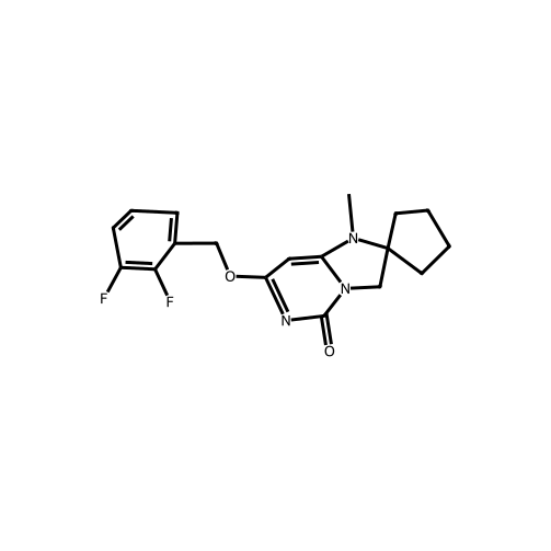 CN1c2cc(OCc3cccc(F)c3F)nc(=O)n2CC12CCCC2